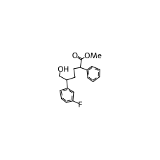 COC(=O)C(CCC(CO)c1cccc(F)c1)c1ccccc1